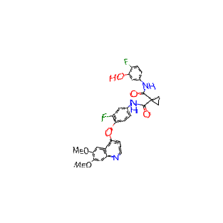 COc1cc2nccc(Oc3ccc(NC(=O)C4(C(=O)Nc5ccc(F)c(O)c5)CC4)cc3F)c2cc1OC